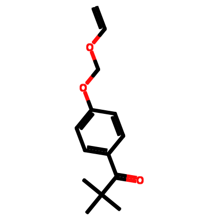 C=COCOc1ccc(C(=O)C(C)(C)C)cc1